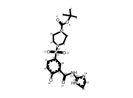 CC(C)(C)OC(=O)N1CCN(S(=O)(=O)c2ccc(Cl)c(C(=O)Nc3ncc[nH]3)c2)CC1